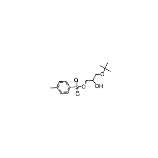 Cc1ccc(S(=O)(=O)OCC(O)COC(C)(C)C)cc1